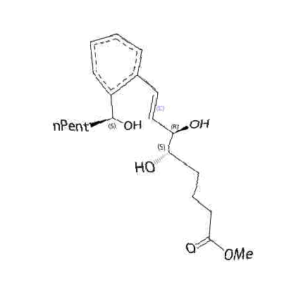 CCCCC[C@H](O)c1ccccc1/C=C/[C@@H](O)[C@@H](O)CCCC(=O)OC